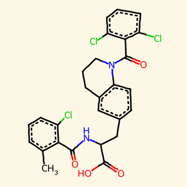 Cc1cccc(Cl)c1C(=O)NC(Cc1ccc2c(c1)CCCN2C(=O)c1c(Cl)cccc1Cl)C(=O)O